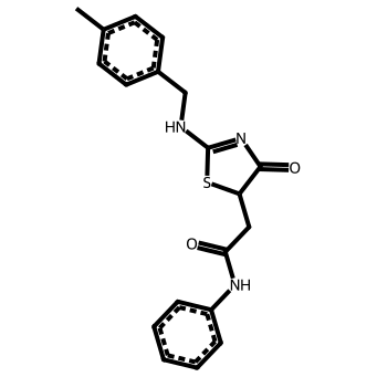 Cc1ccc(CNC2=NC(=O)C(CC(=O)Nc3ccccc3)S2)cc1